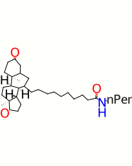 CCCCCNC(=O)CCCCCCCCCC1CC2CC(=O)CC[C@]2(C)[C@@H]2CC[C@]3(C)C(O)CC[C@H]3[C@H]12